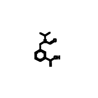 C=C(O)c1cccc(CN(C=O)C(C)C)c1